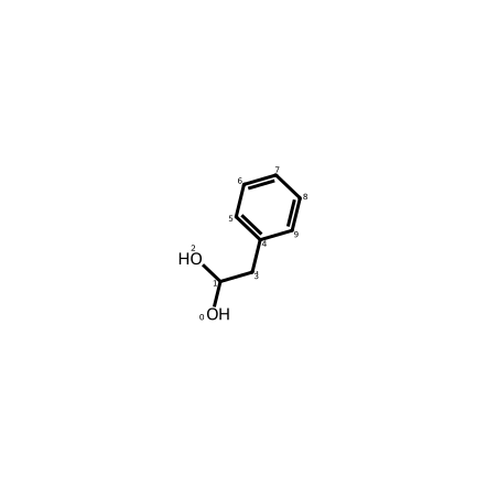 OC(O)[CH]c1ccccc1